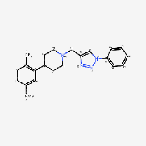 CNc1ccc(C(F)(F)F)c(C2CCN(Cc3cn(-c4ccccc4)nn3)CC2)c1